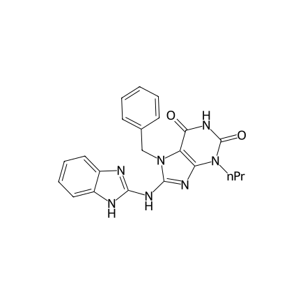 CCCn1c(=O)[nH]c(=O)c2c1nc(Nc1nc3ccccc3[nH]1)n2Cc1ccccc1